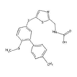 CSc1ccc(Sc2cnc(CNC(=O)O)s2)cc1-c1ccc(C)cc1